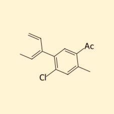 C=C/C(=C\C)c1cc(C(C)=O)c(C)cc1Cl